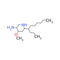 CCCCCCC(CCC)C1CC(OC)C(N)CN1